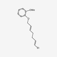 CCC=CCCC=CCOc1ccccc1OC